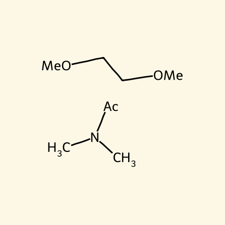 CC(=O)N(C)C.COCCOC